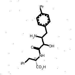 CC(C)C[C@H](NC(=O)C(O)C(N)Cc1ccc(C(C)C)cc1)C(=O)O